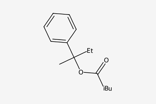 CCC(C)C(=O)OC(C)(CC)c1ccccc1